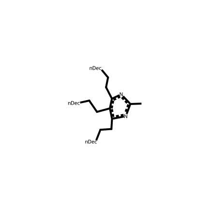 CCCCCCCCCCCCc1nc(C)nc(CCCCCCCCCCCC)c1CCCCCCCCCCCC